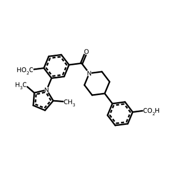 Cc1ccc(C)n1-c1cc(C(=O)N2CCC(c3cccc(C(=O)O)c3)CC2)ccc1C(=O)O